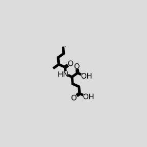 [CH2]CCC(C)C(=O)NC(CCC(=O)O)C(=O)O